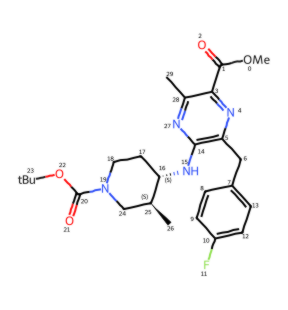 COC(=O)c1nc(Cc2ccc(F)cc2)c(N[C@H]2CCN(C(=O)OC(C)(C)C)C[C@@H]2C)nc1C